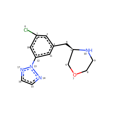 Clc1cc(C[C@@H]2COCCN2)cc(-n2nccn2)c1